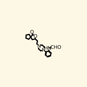 O=CNc1ccccc1N1CCN(CCC2CC3(CCCC3)C(=O)O2)CC1